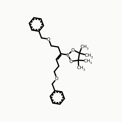 CC1(C)OB(/C(=C\CCOCc2ccccc2)CCOCc2ccccc2)OC1(C)C